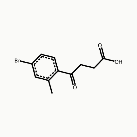 Cc1cc(Br)ccc1C(=O)CCC(=O)O